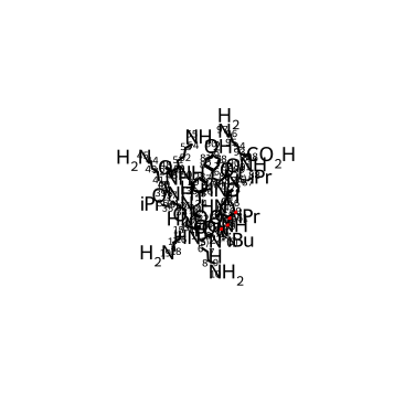 CC[C@H](C)[C@H](NC(=O)[C@H](CCCCN)NC(=O)[C@H](CCCCN)NC(=O)[C@H](Cc1ccccc1)NC(=O)[C@H](CC(C)C)NC(=O)[C@H](CCCCN)NC(=O)[C@@H](N)CCCCN)C(=O)N[C@@H](CC(C)C)C(=O)N[C@@H](CCCCN)C(=O)N[C@@H](Cc1ccc(O)cc1)C(=O)N[C@@H](CC(C)C)C(=O)N[C@@H](CCCCN)C(=O)O